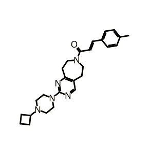 Cc1ccc(/C=C/C(=O)N2CCc3cnc(N4CCN(C5CCC5)CC4)nc3CC2)cc1